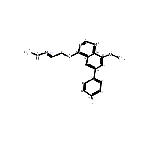 CN/N=C/CNc1ncnc2c(OC)cc(-c3ccc(F)cc3)cc12